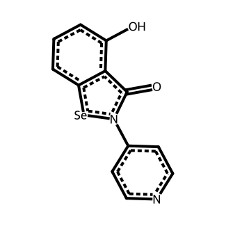 O=c1c2c(O)cccc2[se]n1-c1ccncc1